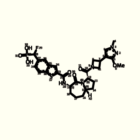 COc1nn(C)cc1C1CN(C(=O)[C@@H]2CC[C@@H]3CCC[C@H](NC(=O)c4cc5cc(C(F)P(=O)(O)O)ccc5s4)C(=O)N32)C1